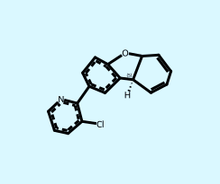 Clc1cccnc1-c1ccc2c(c1)[C@@H]1C=CC=CC1O2